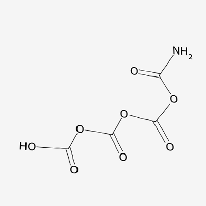 NC(=O)OC(=O)OC(=O)OC(=O)O